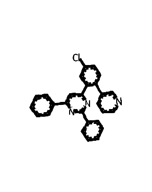 Clc1ccc(-c2cccnc2)c(-c2cc(-c3ccccc3)nc(-c3ccccc3)n2)c1